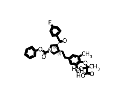 Cc1cc(CC[C@H]2CN(C(=O)Oc3ccccc3)C[C@@H]2C(=O)c2ccc(F)cc2)cc(C)c1OC(C)(C)C(=O)O